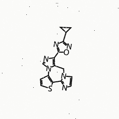 c1cn2c(n1)-c1sccc1-n1cnc(-c3nc(C4CC4)no3)c1C2